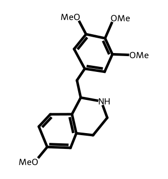 COc1ccc2c(c1)CCNC2Cc1cc(OC)c(OC)c(OC)c1